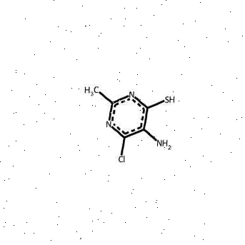 Cc1nc(S)c(N)c(Cl)n1